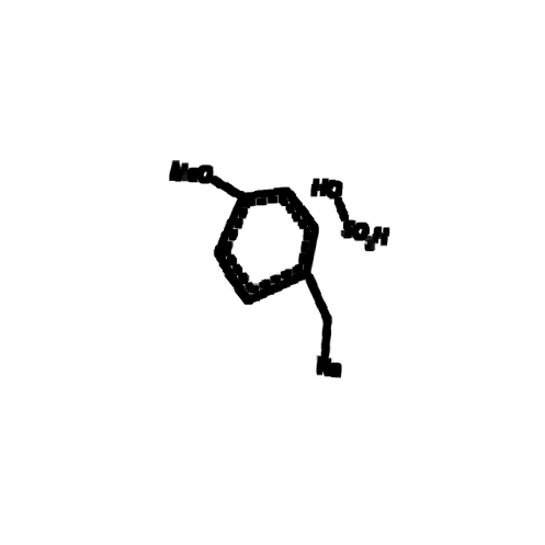 COc1ccc([CH2][Na])cc1.O=S(=O)(O)O